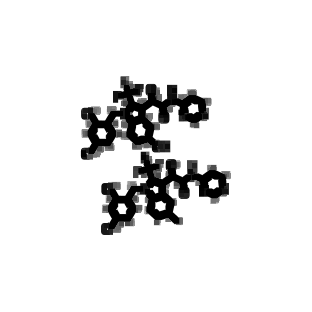 Cc1ccc2c(c1)c(C(=O)C(=O)Nc1ccncn1)c(C(F)(F)F)n2Cc1ccc(Cl)cc1Cl.O=C(Nc1ccncn1)C(=O)c1c(C(F)(F)F)n(Cc2ccc(Cl)cc2Cl)c2ccc(O)cc12